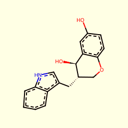 Oc1ccc2c(c1)[C@H](O)[C@@H](Cc1c[nH]c3ccccc13)CO2